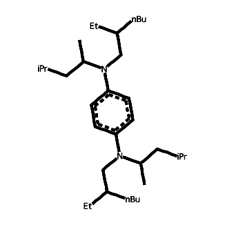 CCCCC(CC)CN(c1ccc(N(CC(CC)CCCC)C(C)CC(C)C)cc1)C(C)CC(C)C